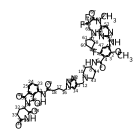 COc1cc(C(=O)NC2CCN(Cc3cn(CCCC(=O)Nc4cccc5c4C(=O)N(C4CCC(=O)NC4=O)C5=O)nn3)CC2)c(F)cc1Nc1ncc2c(n1)N(C1CCCC1)CC(F)(F)C(=O)N2C